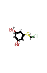 ClCSc1cc(Br)cc(Br)c1